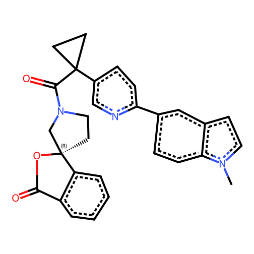 Cn1ccc2cc(-c3ccc(C4(C(=O)N5CC[C@@]6(C5)OC(=O)c5ccccc56)CC4)cn3)ccc21